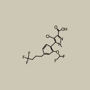 Cn1nc(C(=O)O)c(Cl)c1-c1ccc(CCCC(F)(F)F)cc1OC(F)F